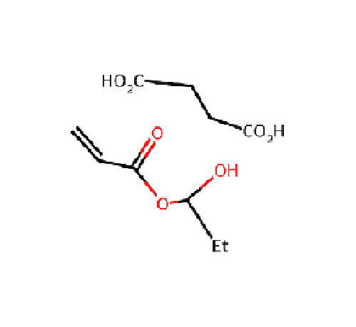 C=CC(=O)OC(O)CC.O=C(O)CCC(=O)O